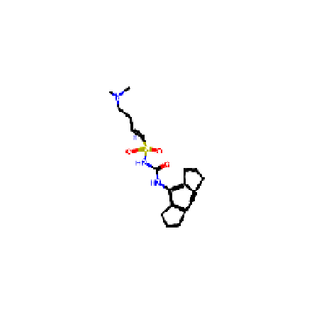 CN(C)CC/C=C/S(=O)(=O)NC(=O)Nc1c2c(cc3c1CCC3)CCC2